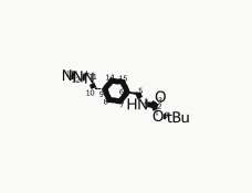 CC(C)(C)OC(=O)NC[C@H]1CC[C@H](CN=[N+]=[N-])CC1